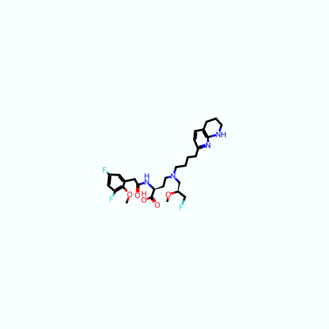 COc1c(F)cc(F)cc1CC(=O)N[C@@H](CCN(CCCCc1ccc2c(n1)NCCC2)C[C@@H](CF)OC)C(=O)O